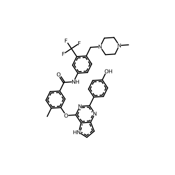 Cc1ccc(C(=O)Nc2ccc(CN3CCN(C)CC3)c(C(F)(F)F)c2)cc1Oc1nc(-c2ccc(O)cc2)nc2cc[nH]c12